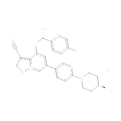 C[C@@H](Oc1cc(-c2ccc(N3CC[C@H](O)[C@@H](O)C3)nc2)cn2ncc(C#N)c12)c1ccc(F)cn1